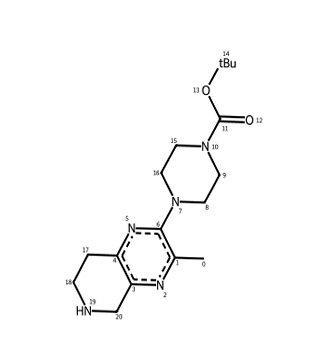 Cc1nc2c(nc1N1CCN(C(=O)OC(C)(C)C)CC1)CCNC2